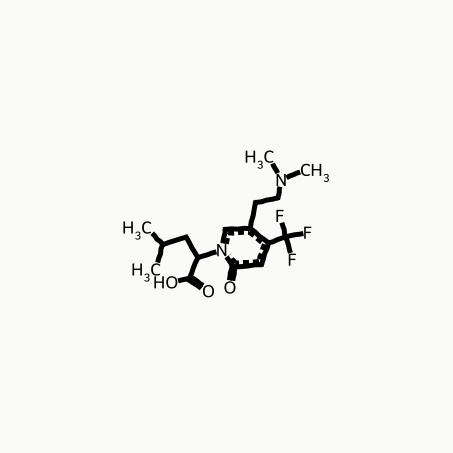 CC(C)CC(C(=O)O)n1cc(CCN(C)C)c(C(F)(F)F)cc1=O